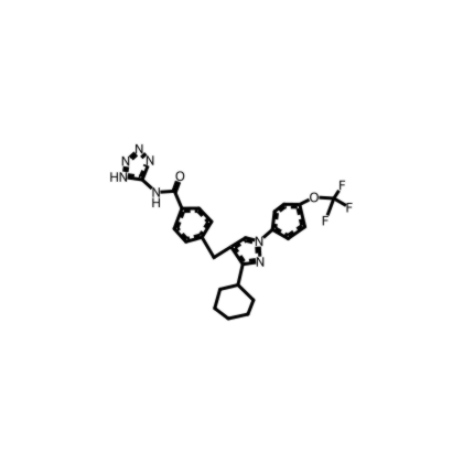 O=C(Nc1nnn[nH]1)c1ccc(Cc2cn(-c3ccc(OC(F)(F)F)cc3)nc2C2CCCCC2)cc1